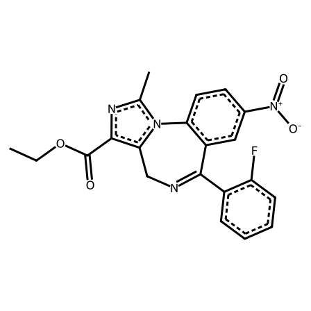 CCOC(=O)c1nc(C)n2c1CN=C(c1ccccc1F)c1cc([N+](=O)[O-])ccc1-2